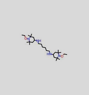 CCON1C(C)(C)CC(NCCCCCCNC2CC(C)(C)N(OCC)C(C)(C)C2)CC1(C)C